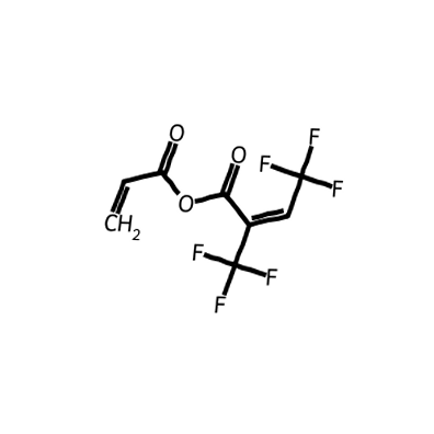 C=CC(=O)OC(=O)C(=CC(F)(F)F)C(F)(F)F